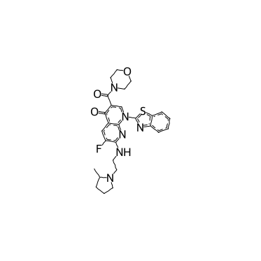 CC1CCCN1CCNc1nc2c(cc1F)c(=O)c(C(=O)N1CCOCC1)cn2-c1nc2ccccc2s1